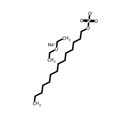 CCCCCCCCCCCCCCOS(=O)(=O)[O-].CCOCC.[Na+]